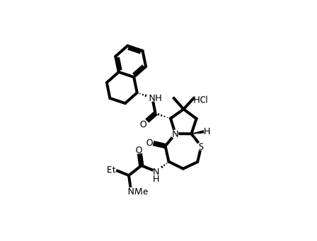 CCC(NC)C(=O)N[C@H]1CCS[C@H]2CC(C)(C)[C@@H](C(=O)N[C@@H]3CCCc4ccccc43)N2C1=O.Cl